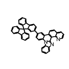 c1ccc2c(c1)-c1ccccc1C21c2ccccc2-c2ccc(-c3ccc4c(c3)c3ccc5cccnc5c3c3nc5ccccc5n43)cc21